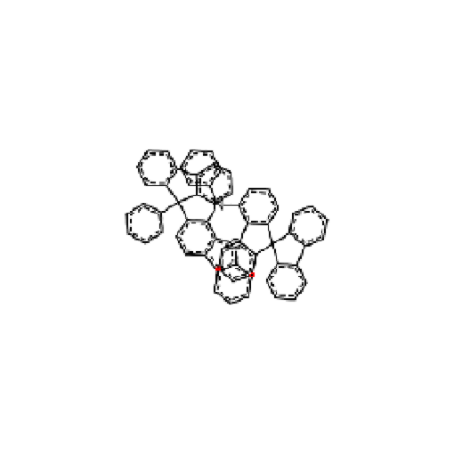 c1ccc(N(c2cccc3c2-c2ccccc2C32c3ccccc3-c3ccccc32)c2c(C3(c4ccccc4)c4ccccc4-c4ccccc43)ccc3c2oc2ccccc23)cc1